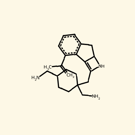 C=C(C)c1cccc2c1C1=C(CC3(CN)CCC(CN)CC3)NC1C2